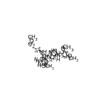 CCOC(=O)CCC1CC(NC[C@H]2C[C@@H](n3ccc4c(NCc5ccc(OC)cc5OC)ncnc43)[C@H](OC(C)(C)O)[C@@H]2C)C1